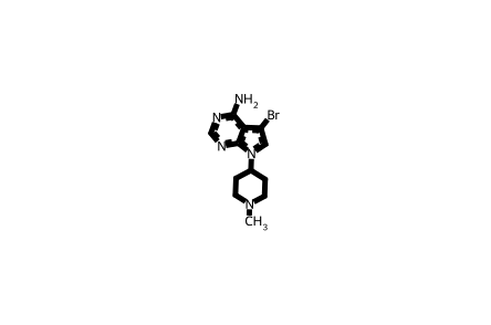 CN1CCC(n2cc(Br)c3c(N)ncnc32)CC1